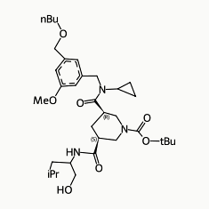 CCCCOCc1cc(CN(C(=O)[C@@H]2C[C@H](C(=O)NC(CO)CC(C)C)CN(C(=O)OC(C)(C)C)C2)C2CC2)cc(OC)c1